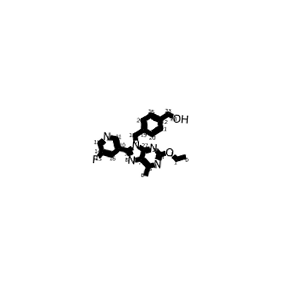 CCOc1nc(C)c2nc(-c3cncc(F)c3)n(Cc3ccc(CO)cc3)c2n1